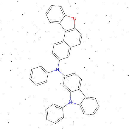 c1ccc(N(c2ccc3c(ccc4oc5ccccc5c43)c2)c2ccc3c4ccccc4n(-c4ccccc4)c3c2)cc1